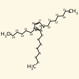 CCCCCCCCc1n(CCCCCCC)cc[n+]1CCCCCC